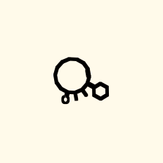 CC1C(=O)CCCCCCCC/C=C\C(=C2CCCCC2)C1C